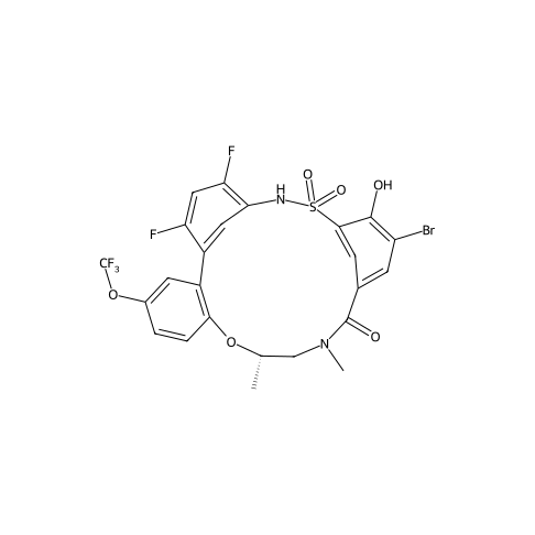 C[C@H]1CN(C)C(=O)c2cc(Br)c(O)c(c2)S(=O)(=O)Nc2cc(c(F)cc2F)-c2cc(OC(F)(F)F)ccc2O1